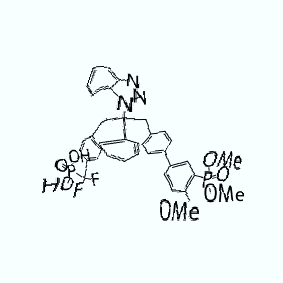 COc1ccc(-c2ccc(CC(Cc3ccc(C(F)(F)P(=O)(O)O)cc3)(c3ccccc3)n3nnc4ccccc43)cc2)cc1P(=O)(OC)OC